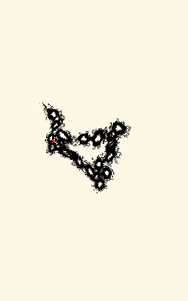 c1ccc(-c2ccc(-n3c4c(c5ccccc53)C3SC4c4c(-c5cccc(C6(c7ccccc7)c7ccccc7-c7cc(-c8ccc9c(c8)C8SC9c9c8n(-c8ccccc8-c8ccccc8-c8ccc%10sc%11ccccc%11c%10c8)c8ccccc98)ccc76)c5)cccc43)cc2)cc1